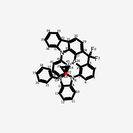 FC1(F)c2cccc(N3c4ccccc4N(c4ccccc4)C34CC4)c2P2c3c1ccc1c4ccccc4n(c31)-c1cccc[n+]12